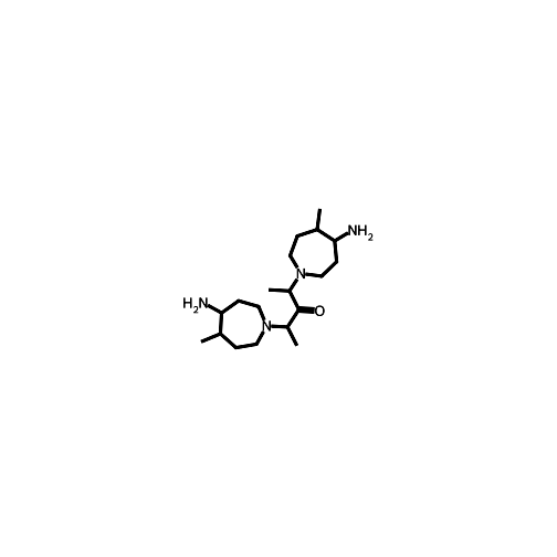 CC1CCN(C(C)C(=O)C(C)N2CCC(C)C(N)CC2)CCC1N